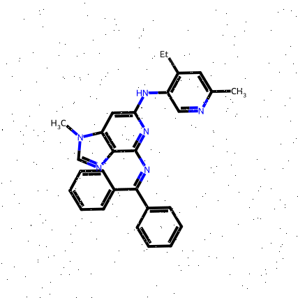 CCc1cc(C)ncc1Nc1cc2c(ncn2C)c(N=C(c2ccccc2)c2ccccc2)n1